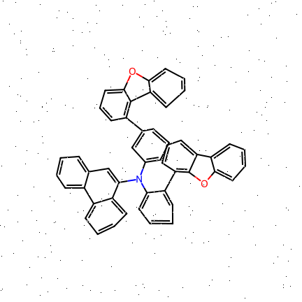 c1cc(-c2cccc3oc4ccccc4c23)cc(N(c2ccccc2-c2cccc3c2oc2ccccc23)c2cc3ccccc3c3ccccc23)c1